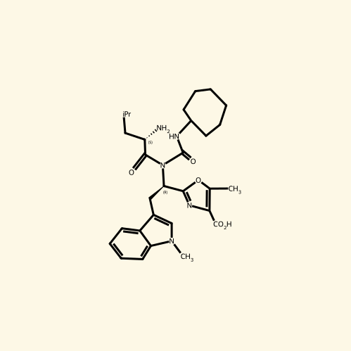 Cc1oc([C@@H](Cc2cn(C)c3ccccc23)N(C(=O)NC2CCCCCC2)C(=O)[C@@H](N)CC(C)C)nc1C(=O)O